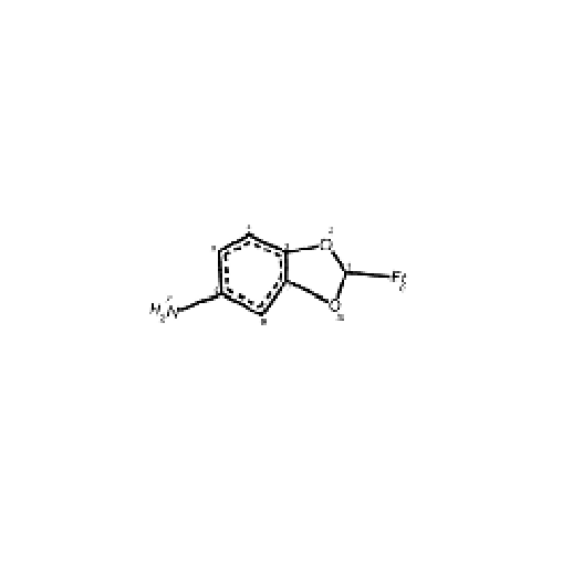 CCC1Oc2ccc(N)cc2O1